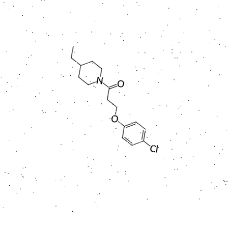 CCC1CCN(C(=O)CCOc2ccc(Cl)cc2)CC1